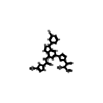 CON(C)C(=O)c1ccn(-c2nc(NC(=O)c3ccc([N+](=O)[O-])s3)c3cnn(-c4cccc(F)c4)c3n2)c1